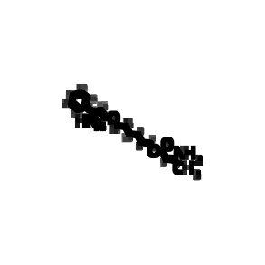 C/C(N)=C/C(=O)OCCCCCCOc1cc(-c2ccccc2)[nH]n1